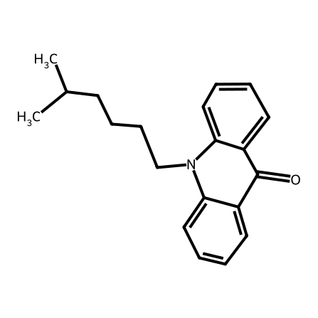 CC(C)CCCCn1c2ccccc2c(=O)c2ccccc21